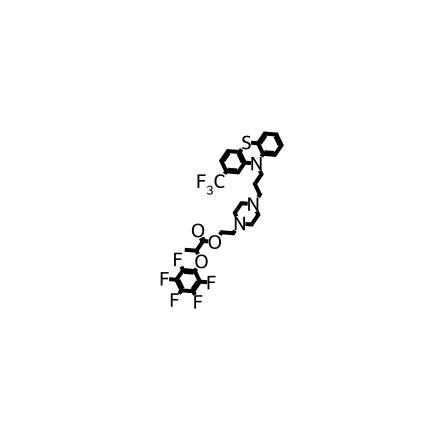 CC(Oc1c(F)c(F)c(F)c(F)c1F)C(=O)OCCN1CCN(CCCN2c3ccccc3Sc3ccc(C(F)(F)F)cc32)CC1